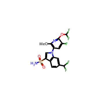 COc1nc(OC(F)F)c(F)cc1-n1cc(S(N)(=O)=O)c2ccc(C(F)F)cc21